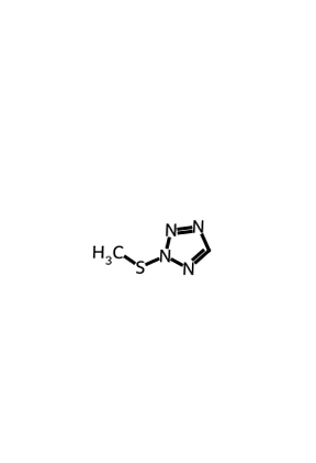 CSn1ncnn1